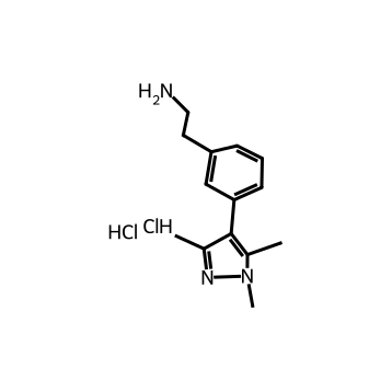 Cc1nn(C)c(C)c1-c1cccc(CCN)c1.Cl.Cl